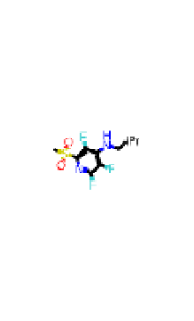 CC(C)CNc1c(F)c(F)nc(S(C)(=O)=O)c1F